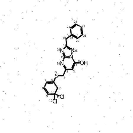 Oc1cc(CSC2=CC=CC(Cl)(Cl)C2)nc2nc(Cc3ccccc3)nn12